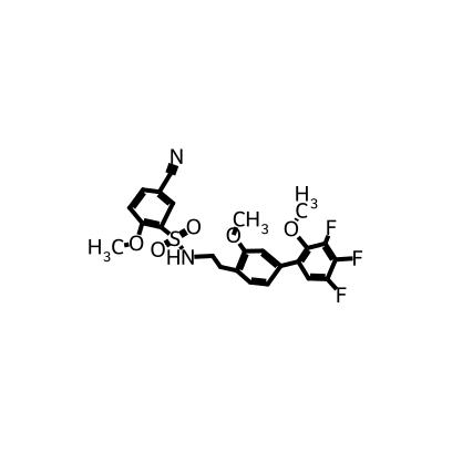 COc1cc(-c2cc(F)c(F)c(F)c2OC)ccc1CCNS(=O)(=O)c1cc(C#N)ccc1OC